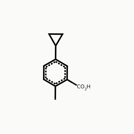 Cc1ccc(C2CC2)cc1C(=O)O